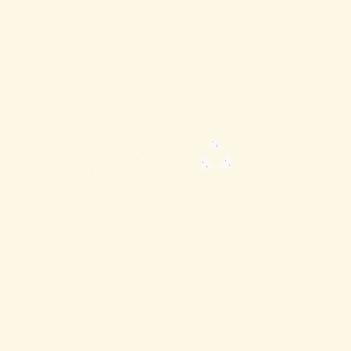 c1ccc(-c2nc(-c3cccc(-c4ccc5c(c4)Sc4ccccc4C54c5ccccc5-c5ccccc54)c3)nc(-c3ccc4ccccc4c3)n2)cc1